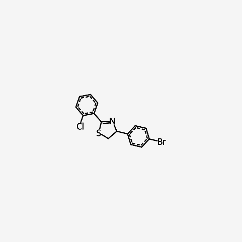 Clc1ccccc1C1=NC(c2ccc(Br)cc2)CS1